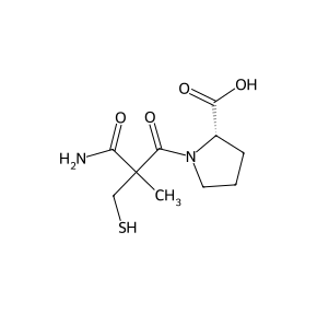 CC(CS)(C(N)=O)C(=O)N1CCC[C@H]1C(=O)O